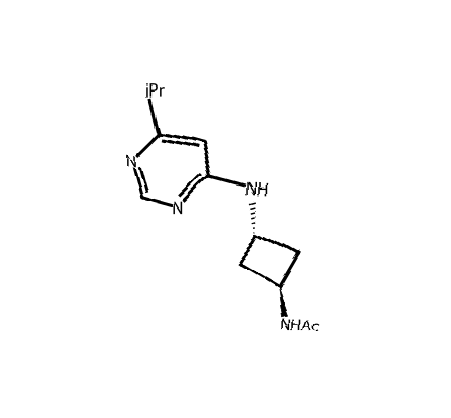 CC(=O)N[C@H]1C[C@H](Nc2cc(C(C)C)ncn2)C1